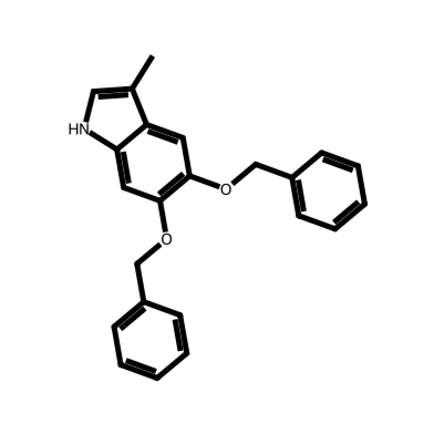 Cc1c[nH]c2cc(OCc3ccccc3)c(OCc3ccccc3)cc12